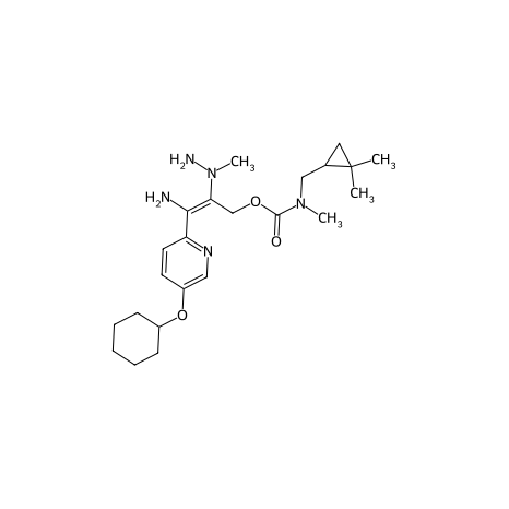 CN(CC1CC1(C)C)C(=O)OC/C(=C(/N)c1ccc(OC2CCCCC2)cn1)N(C)N